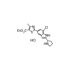 CCOC(=O)c1sc(-c2cc(Cl)c3[nH]c(C4CCCN4)cc3c2)nc1C.Cl